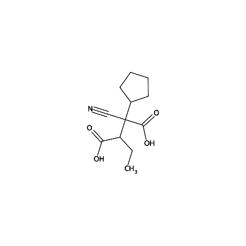 CCC(C(=O)O)C(C#N)(C(=O)O)C1CCCC1